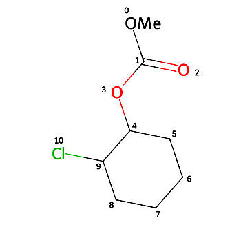 COC(=O)OC1CCCCC1Cl